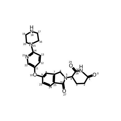 O=C1CCC(N2Cc3cc(Oc4ccc(N5CCNCC5)nc4)ccc3C2=O)C(=O)N1